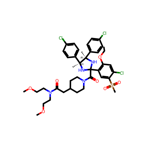 CCOc1cc(Cl)c(S(C)(=O)=O)cc1C1(C(=O)N2CCC(CC(=O)N(CCOC)CCOC)CC2)N[C@@](C)(c2ccc(Cl)cc2)[C@@](C)(c2ccc(Cl)cc2)N1